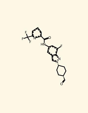 O=C[C@H]1CC[C@H](n2cc3cc(NC(=O)c4cccc(C(F)(F)F)n4)cc(F)c3n2)CC1